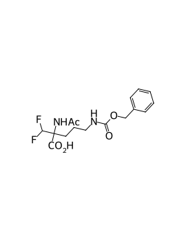 CC(=O)NC(CCCNC(=O)OCc1ccccc1)(C(=O)O)C(F)F